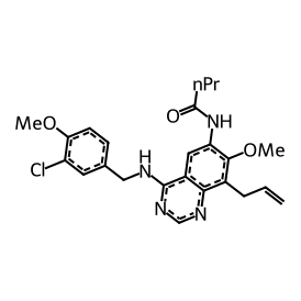 C=CCc1c(OC)c(NC(=O)CCC)cc2c(NCc3ccc(OC)c(Cl)c3)ncnc12